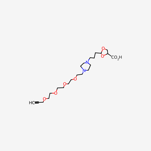 C#CCOCCOCCOCCOCCN1CCN(CCCC2OCC(C(=O)O)O2)CC1